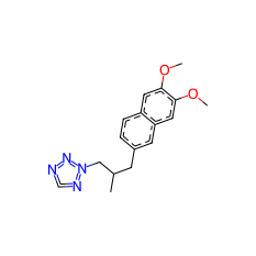 COc1cc2ccc(CC(C)Cn3ncnn3)cc2cc1OC